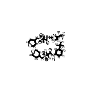 CC(C)(C(=O)Nc1nc(C(F)(F)F)cs1)S(=O)(=O)CC1CCOCC1.CC(C)(C)c1cccc(NC(=O)C(C)(C)S(=O)(=O)CC2CCOCC2)c1